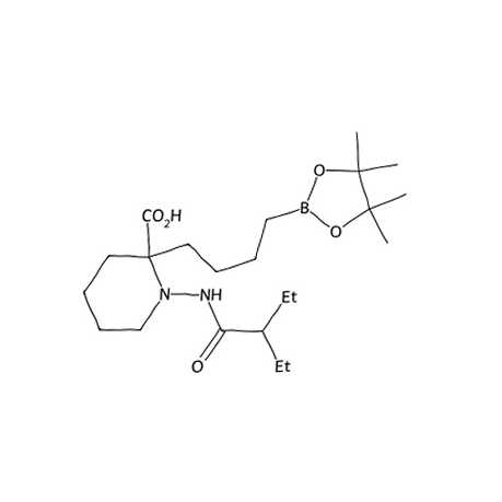 CCC(CC)C(=O)NN1CCCCC1(CCCCB1OC(C)(C)C(C)(C)O1)C(=O)O